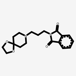 O=C1c2ccccc2C(=O)N1CCCN1CCC2(CC1)OCCO2